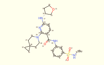 CC(C)(C)NS(=O)(=O)c1cccc(NC(=O)c2ccc(N[C@@H]3CCOC3)nc2N2CCC3(CC2)CC3)c1